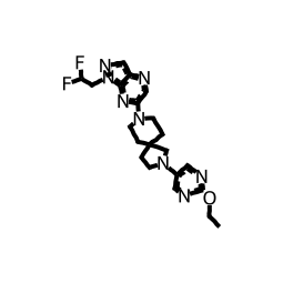 CCOc1ncc(N2CCC3(CCN(c4cnc5cnn(CC(F)F)c5n4)CC3)C2)cn1